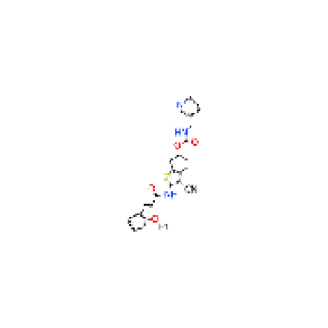 CCOc1ccccc1C=CC(=O)Nc1sc2c(c1C#N)CCC(OC(=O)NCc1cccnc1)C2